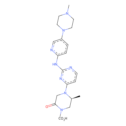 C[C@H]1CN(C(=O)O)C(=O)CN1c1ccnc(Nc2ccc(N3CCN(C)CC3)cn2)n1